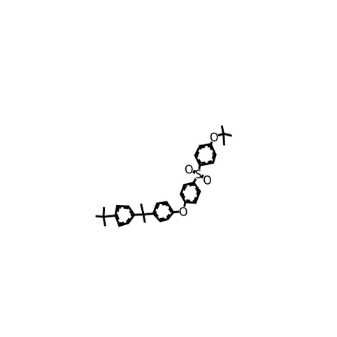 CC(C)(C)Oc1ccc(S(=O)(=O)c2ccc(Oc3ccc(C(C)(C)c4ccc(C(C)(C)C)cc4)cc3)cc2)cc1